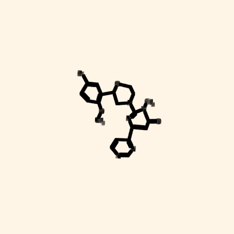 COc1ccc(Br)cc1C1CN(c2nc(-c3ccncn3)cc(=O)n2C)CCO1